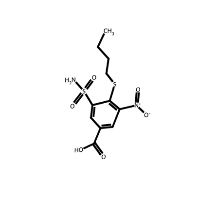 CCCCSc1c([N+](=O)[O-])cc(C(=O)O)cc1S(N)(=O)=O